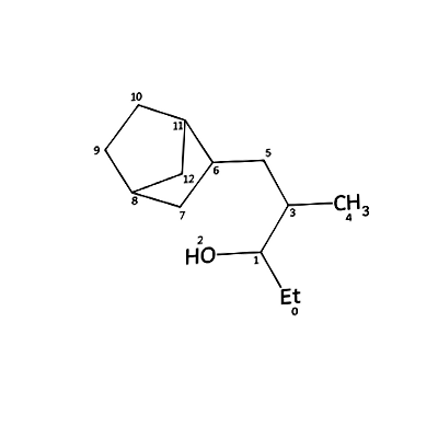 CCC(O)C(C)CC1CC2CCC1C2